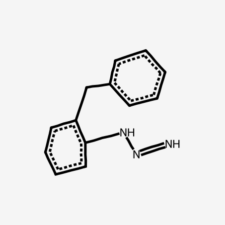 N=NNc1ccccc1Cc1ccccc1